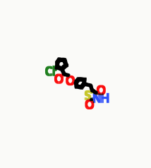 O=C1NC(=O)C(Cc2ccc(OCC(=O)c3ccccc3Cl)cc2)S1